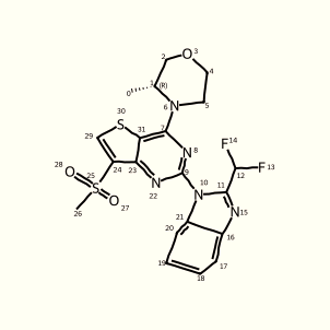 C[C@@H]1COCCN1c1nc(-n2c(C(F)F)nc3ccccc32)nc2c(S(C)(=O)=O)csc12